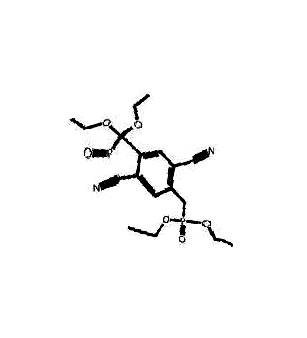 CCOC(OCC)(P=O)c1cc(C#N)c(CP(=O)(OCC)OCC)cc1C#N